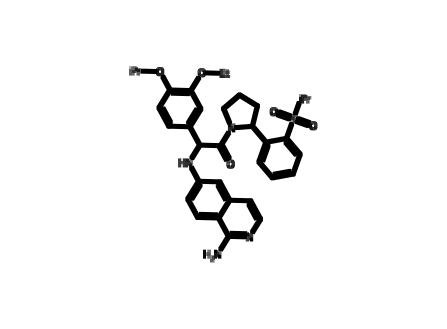 CCOc1cc(C(Nc2ccc3c(N)nccc3c2)C(=O)N2CCCC2c2ccccc2S(=O)(=O)C(C)C)ccc1OC(C)C